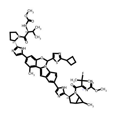 COC(=O)/N=C(/C(=O)N1C2C(C)C2C[C@H]1c1ncc(-c2ccc3c(c2)cc2n3C(c3cnc(C4CCC4)s3)Oc3cc(-c4cnc([C@@H]5CCCN5C(=O)[C@@H](NC(=O)OC)C(C)C)[nH]4)cc(C)c3-2)[nH]1)C(C)(C)F